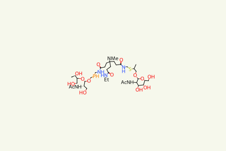 CCNC(=O)CCC(CCC(=O)NCPCOC(OC(CO)[C@@H](C)O)[C@H](CO)NC(C)=O)(CCC(=O)NCSC(C)COC1OC(CO)C(O)C(O)C1NC(C)=O)NC